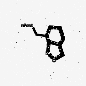 CCCCCCc1cccc2conc12